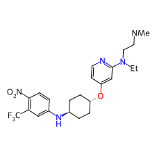 CCN(CCNC)c1cc(O[C@H]2CC[C@H](Nc3ccc([N+](=O)[O-])c(C(F)(F)F)c3)CC2)ccn1